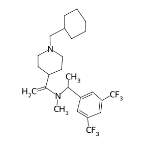 C=C(C1CCN(CC2CCCCC2)CC1)N(C)C(C)c1cc(C(F)(F)F)cc(C(F)(F)F)c1